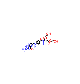 Nc1nc(=O)c2nc(CNc3ccc(C(=O)N[C@@H](CCC(=O)OCCO)C(=O)OCCO)cc3)cnc2[nH]1